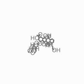 CO[C@H]1OCCN2[C@@H]1O[C@@H]1[C@H](C)O[C@@H](O[C@H]3C[C@](O)(C(C)=O)Cc4c(O)c5c(c(O)c43)C(=O)c3c(NCCO)cccc3C5=O)C[C@@H]12